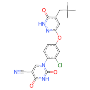 CC(C)(C)Cc1cc(Oc2ccc(-n3cc(C#N)c(=O)[nH]c3=O)c(Cl)c2)n[nH]c1=O